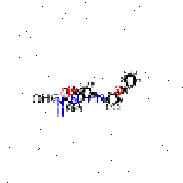 CCCC(C(=O)NC=O)N1Cc2cc(CNC3CCCC(OCc4ccccc4)C3)ccc2C1=O